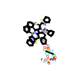 Cc1ccccc1-c1c2/c(=C(\C#N)c3nc4ccccc4s3)n(Bc3ccccc3)c(Cc3cccc(OS(=O)(=O)C(F)(F)C(F)(F)C(F)(F)S(=O)(=O)NS(=O)(=O)C(F)(F)F)c3)c2/c(=C(\C#N)c2nc3ccccc3s2)n1B(c1ccccc1)c1ccccc1